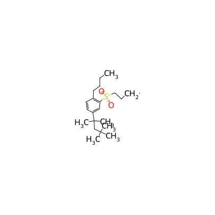 [CH2]CCS(=O)(=O)c1cc(C(C)(C)CC(C)(C)C)ccc1CCCC